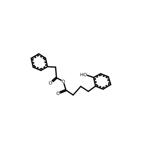 O=C(CCCc1ccccc1O)OC(=O)Cc1ccccc1